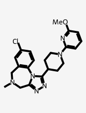 COc1cccc(N2CCC(c3nnc4n3-c3ccc(Cl)cc3CN(C)C4)CC2)n1